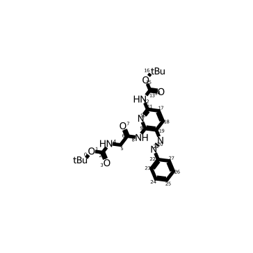 CC(C)(C)OC(=O)NCC(=O)Nc1nc(NC(=O)OC(C)(C)C)ccc1/N=N/c1ccccc1